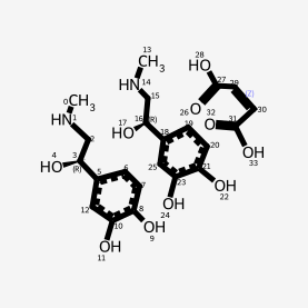 CNC[C@H](O)c1ccc(O)c(O)c1.CNC[C@H](O)c1ccc(O)c(O)c1.O=C(O)/C=C\C(=O)O